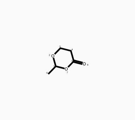 CC1O[CH]CC(=O)O1